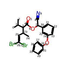 CC(C)C(C(=O)OC(C#N)c1cccc(Oc2ccccc2)c1)C(C)C=C(Br)Br